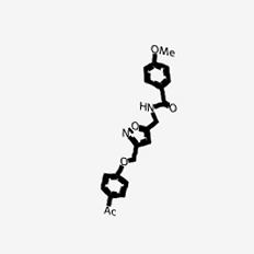 COc1ccc(C(=O)NCc2cc(COc3ccc(C(C)=O)cc3)no2)cc1